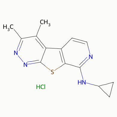 Cc1nnc2sc3c(NC4CC4)nccc3c2c1C.Cl